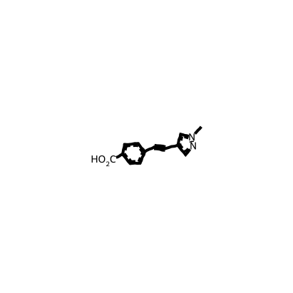 Cn1cc(C#Cc2ccc(C(=O)O)cc2)cn1